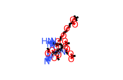 CC(=O)OCC(=O)N[C@H]1[C@H]([C@H](OC(C)=O)[C@@H](CN=[N+]=[N-])OC(C)=O)O[C@@](OCCOCCOCCC(=O)OC(C)(C)C)(c2nn[nH]n2)C[C@@H]1OC(C)=O